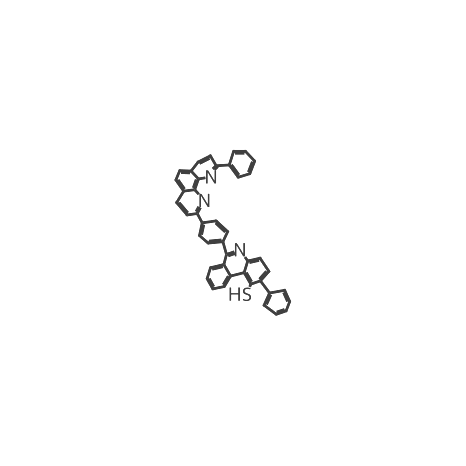 Sc1c(-c2ccccc2)ccc2nc(-c3ccc(-c4ccc5ccc6ccc(-c7ccccc7)nc6c5n4)cc3)c3ccccc3c12